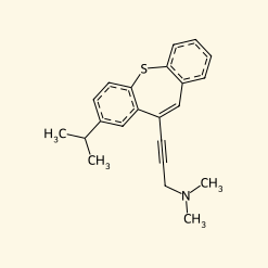 CC(C)c1ccc2c(c1)C(C#CCN(C)C)=Cc1ccccc1S2